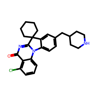 O=c1nc2n(c3cccc(Cl)c13)-c1ccc(CC3CCNCC3)cc1C21CCCCC1